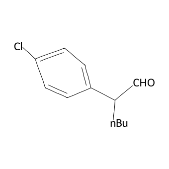 CCCCC(C=O)c1ccc(Cl)cc1